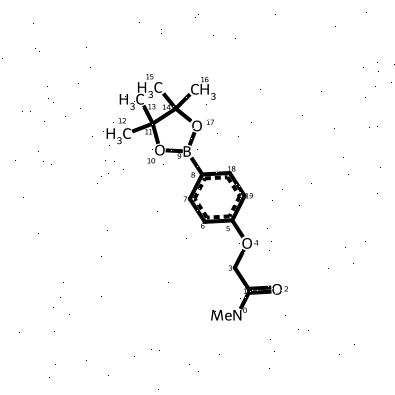 CNC(=O)COc1ccc(B2OC(C)(C)C(C)(C)O2)cc1